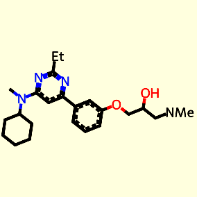 CCc1nc(-c2cccc(OCC(O)CNC)c2)cc(N(C)C2CCCCC2)n1